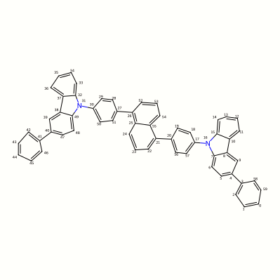 c1ccc(-c2ccc3c(c2)c2ccccc2n3-c2ccc(-c3cccc4c(-c5ccc(-n6c7ccccc7c7cc(-c8ccccc8)ccc76)cc5)cccc34)cc2)cc1